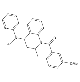 COc1cccc(C(=O)N2c3ccccc3C(N(C(C)=O)c3ccccn3)CC2C)c1